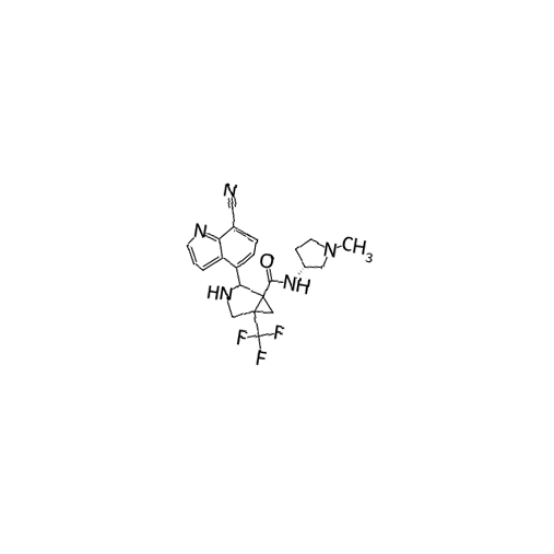 CN1CC[C@@H](NC(=O)C23CC2(C(F)(F)F)CNC3c2ccc(C#N)c3ncccc23)C1